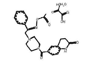 CC(=O)ON=C(CN1CCN(C(=O)c2ccc3c(c2)CCC(=O)N3)CC1)c1ccccc1.O.O=C(O)C(=O)O